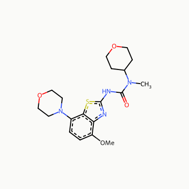 COc1ccc(N2CCOCC2)c2sc(NC(=O)N(C)C3CCOCC3)nc12